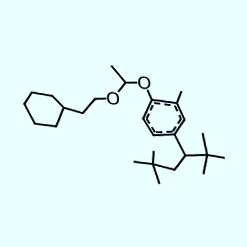 Cc1cc(C(CC(C)(C)C)C(C)(C)C)ccc1OC(C)OCCC1CCCCC1